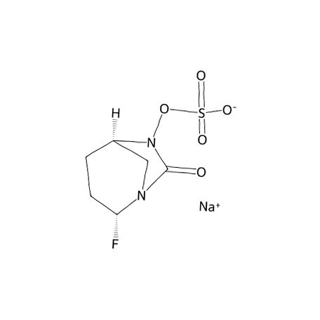 O=C1N2C[C@@H](CC[C@H]2F)N1OS(=O)(=O)[O-].[Na+]